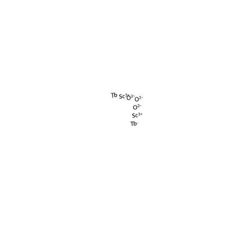 [O-2].[O-2].[O-2].[Sc+3].[Sc+3].[Tb].[Tb]